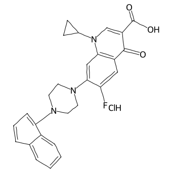 Cl.O=C(O)c1cn(C2CC2)c2cc(N3CCN(c4cccc5ccccc45)CC3)c(F)cc2c1=O